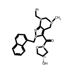 CC(C)CN1CN(C)Cc2c1nn(Cc1cccc3ccccc13)c2C(=O)N1C[C@H](O)CO1